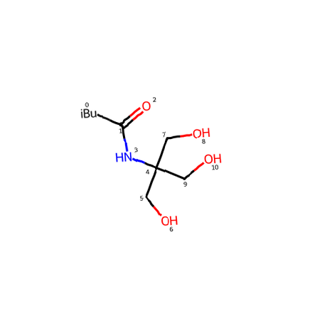 CCC(C)C(=O)NC(CO)(CO)CO